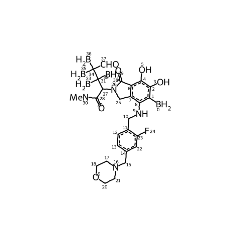 Bc1c(O)c(O)c2c(c1NCc1ccc(CN3CCOCC3)cc1F)CN(C(C(=O)NC)C(B)(B)C(B)(B)C=O)C2=O